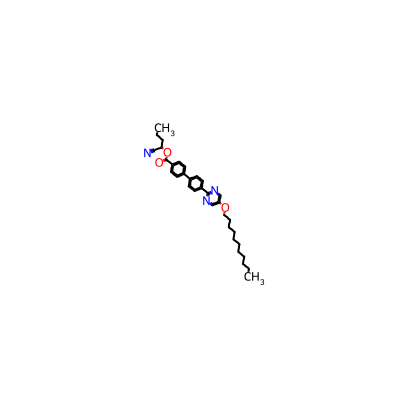 CCCCCCCCCCCOc1cnc(-c2ccc(-c3ccc(C(=O)OC(C#N)CCC)cc3)cc2)nc1